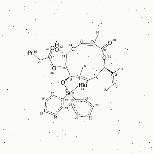 C/C=C(/C)[C@H]1C/C=C(\C)[C@@H](O[Si](c2ccccc2)(c2ccccc2)C(C)(C)C)[C@H](OC(=O)CC(C)C)[C@H](O)CC=C(C)C(=O)O1